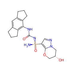 N[S@@](=O)(=NC(=O)Nc1c2c(cc3c1CCC3)CCC2)c1cnn2c1OC[C@@H](O)C2